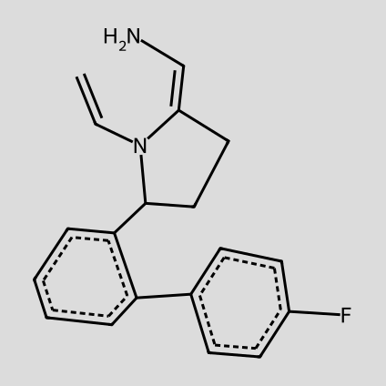 C=CN1/C(=C\N)CCC1c1ccccc1-c1ccc(F)cc1